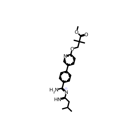 COC(=O)C(C)(C)COc1ccc(-c2ccc(/C(N)=N/C(=N)CC(C)C)cc2)cn1